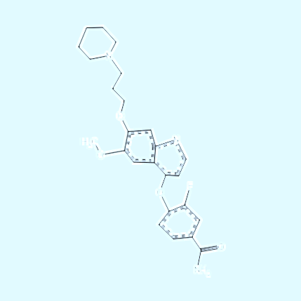 COc1cc2c(Oc3ccc(C(N)=O)cc3F)ccnc2cc1OCCCN1CCCCC1